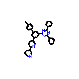 Cc1ccc(-c2cc(-c3ccc(-c4cccnc4)nc3)cc(-c3nc(-c4ccccc4)nc(-c4ccccc4)n3)c2)cc1